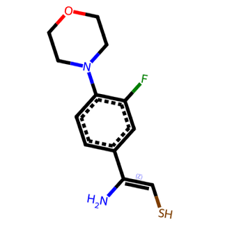 N/C(=C\S)c1ccc(N2CCOCC2)c(F)c1